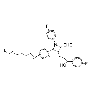 O=CC1C(CCC(O)c2ccc(F)cc2)C(c2ccc(OCCCCCCI)cc2)N1c1ccc(F)cc1